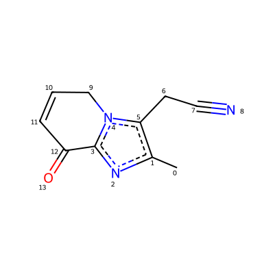 Cc1nc2n(c1CC#N)CC=CC2=O